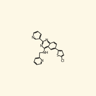 Clc1ccc(-c2ccc3nc(-c4cccnc4)nc(NCc4ccccn4)c3c2)s1